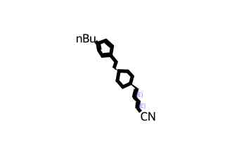 CCCCc1ccc(CC[C@H]2CC[C@H](/C=C/C=C/C#N)CC2)cc1